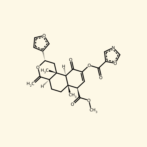 C=C1O[C@H](c2ccoc2)C[C@]2(C)[C@H]3C(=O)C(OC(=O)c4cnco4)=C[C@@H](C(=O)OC)[C@]3(C)CC[C@@H]12